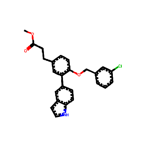 COC(=O)CCc1ccc(OCc2cccc(Cl)c2)c(-c2ccc3[nH]ccc3c2)c1